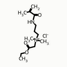 C=C(C)C(=O)NCCC[N+](C)(C)CC(=O)OCC.[Cl-]